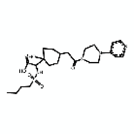 CCCCS(=O)(=O)NC(C(=O)O)C1(O)CCC(CC(=O)N2CCN(c3ccncc3)CC2)CC1